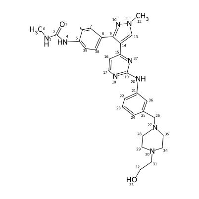 CNC(=O)Nc1ccc(-c2nn(C)cc2-c2ccnc(Nc3cccc(CN4CCN(CCO)CC4)c3)n2)cc1